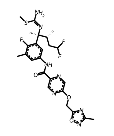 CS/C(N)=N\[C@](C)(c1cc(NC(=O)c2cnc(OCc3nc(C)no3)cn2)cc(C)c1F)[C@H](C)CC(F)F